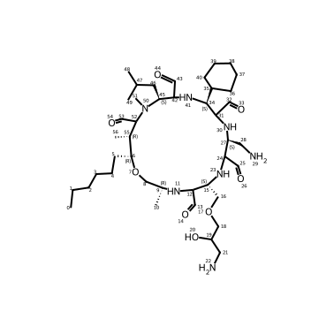 CCCCCC[C@H]1OC[C@@H](C)NC(C=O)[C@@H](COCC(O)CN)NC(C=O)[C@H](CN)NC(C=O)[C@H](C2CCCCC2)NC(C=O)[C@H](CC(C)C)N(C)C(C=O)[C@H]1C